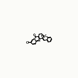 Cc1ccccc1C=C1CCCc2c1nc1ccc(Cl)cn1c2=O